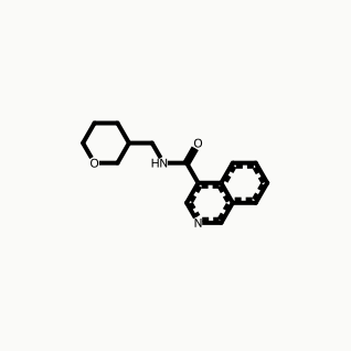 O=C(NCC1CCCOC1)c1cncc2ccccc12